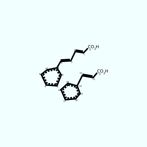 O=C(O)C=CC=Cc1ccccc1.O=C(O)C=Cc1ccccc1